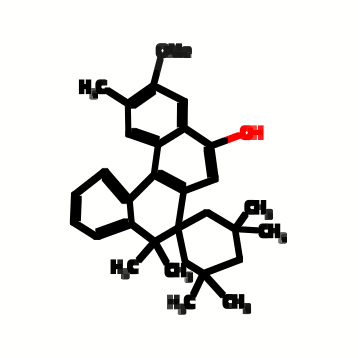 COc1cc2c(O)cc3c(c2cc1C)-c1ccccc1C(C)(C)C31CC(C)(C)CC(C)(C)C1